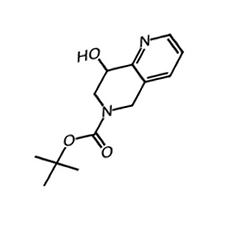 CC(C)(C)OC(=O)N1Cc2cccnc2C(O)C1